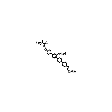 C=C(O)C(=O)OCOC1CCC(c2ccc(C3CCC(C4CCC(OCOC)CC4)CC3)c(CCCCCCC)c2)CC1